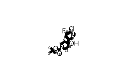 CC(C)(C)OC(=O)N1CCC(O)(c2cnc(Cl)c(F)c2)CC1